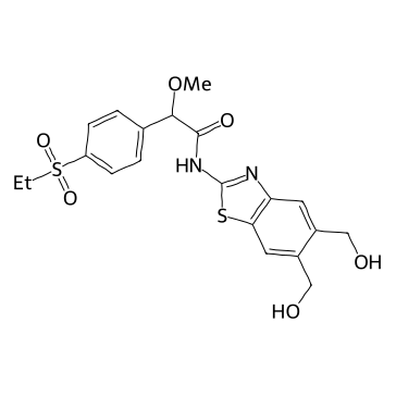 CCS(=O)(=O)c1ccc(C(OC)C(=O)Nc2nc3cc(CO)c(CO)cc3s2)cc1